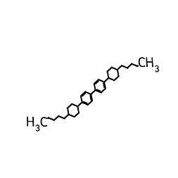 CCCCCC1CCC(c2ccc(-c3ccc(C4CCC(CCCCC)CC4)cc3)cc2)CC1